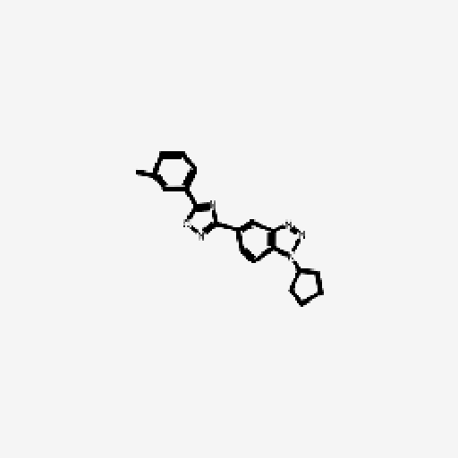 Cc1cccc(-c2nc(-c3ccc4c(c3)nnn4C3CCCC3)no2)c1